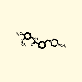 Cc1ccc(NC(=O)c2cccc(CN3CCN(C)CC3)c2)cc1OC(F)(F)F